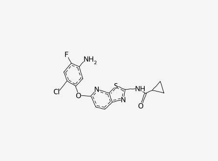 Nc1cc(Oc2ccc3nc(NC(=O)C4CC4)sc3n2)c(Cl)cc1F